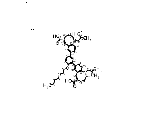 CCCCOCCOc1ccc(-c2ccc3c(c2)/C=C(/C(=O)O)CCCN3CC(C)C)cc1-c1ccc2c(c1)/C=C(/C(=O)O)CCCN2CC(C)C